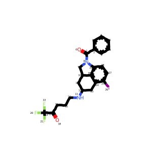 O=C(c1ccccc1)N1CC2CC(NCCCC(=O)C(F)(F)F)Cc3c(I)ccc1c32